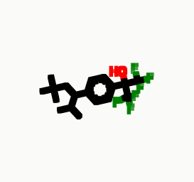 CC(C)C(CC(C)(C)C)c1ccc(C(O)(C(F)(F)F)C(F)(F)F)cc1